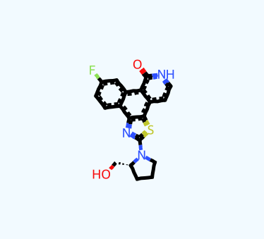 O=c1[nH]ccc2c3sc(N4CCC[C@@H]4CO)nc3c3ccc(F)cc3c12